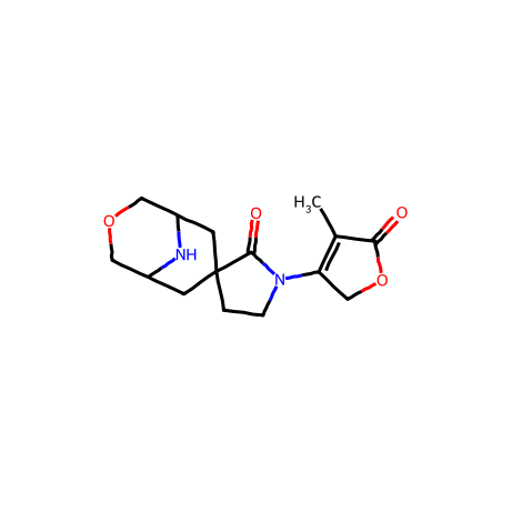 CC1=C(N2CCC3(CC4COCC(C3)N4)C2=O)COC1=O